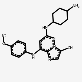 CCOc1ccc(Nc2cc(NC3CCC(N)CC3)nn3c(C#N)cnc23)cc1